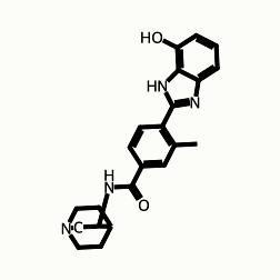 Cc1cc(C(=O)NC2CN3CCC2CC3)ccc1-c1nc2cccc(O)c2[nH]1